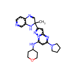 CC1(c2cc3nc(N4CCCC4)cc(NC4CCOCC4)n3n2)C=Nc2ccncc2N1